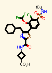 CC(C)(C)NS(=O)(=O)c1ccc(-c2sc(C(=O)N[C@H]3C[C@H](C(=O)O)C3)nc2CC2CCCCC2)c(OC(F)F)c1Cl